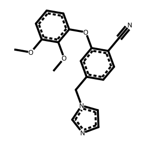 COc1cccc(Oc2cc(Cn3ccnc3)ccc2C#N)c1OC